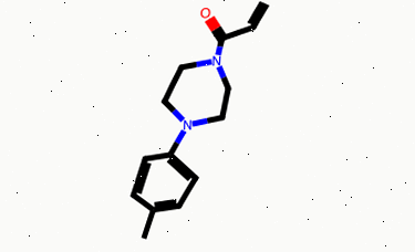 C=CC(=O)N1CCN(c2ccc(C)cc2)CC1